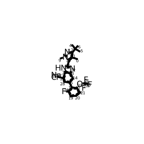 Cc1c(C(C)(C)C)nn(C)c1-c1nc2cc(-c3c(F)cccc3OC(F)(F)F)cc(Cl)c2[nH]1.[Na]